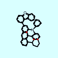 c1ccc(N(c2cccc(-c3cccc4oc5ccccc5c34)c2)c2ccccc2-c2cccc3cccc(C4CCCCC4)c23)cc1